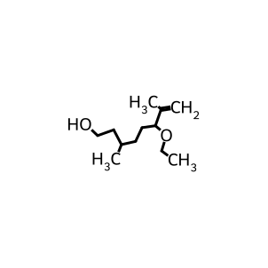 C=C(C)C(CCC(C)CCO)OCC